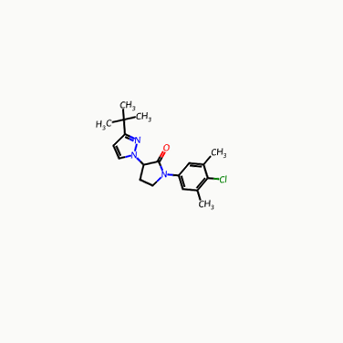 Cc1cc(N2CCC(n3ccc(C(C)(C)C)n3)C2=O)cc(C)c1Cl